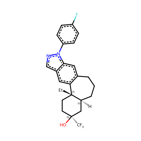 CC[C@]12CC[C@@](O)(C(F)(F)F)C[C@@H]1CCCc1cc3c(cnn3-c3ccc(F)cc3)cc12